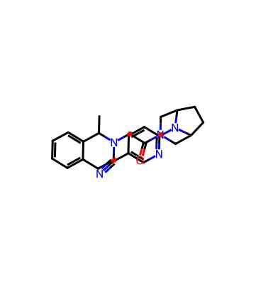 CC1c2ccccc2CCN1CC(=O)N1CC2CCC(C1)N2c1ccc(C#N)cn1